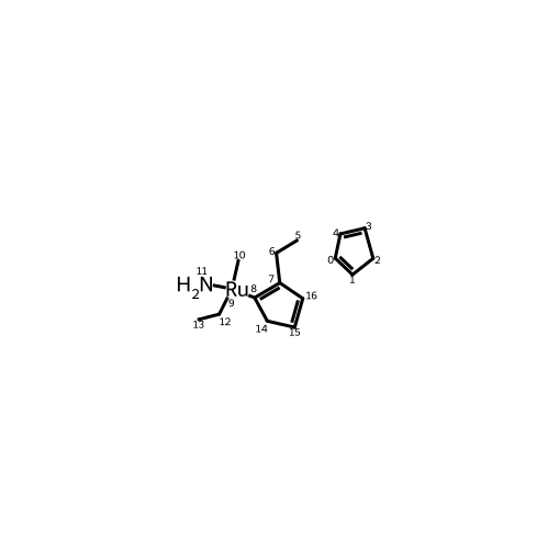 C1=CCC=C1.CCC1=[C]([Ru]([CH3])([NH2])[CH2]C)CC=C1